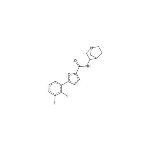 O=C(NC1CN2CCC1C2)c1ccc(-c2cccc(F)c2F)o1